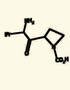 CC(C)C(N)C(=O)C1CCN1C(=O)O